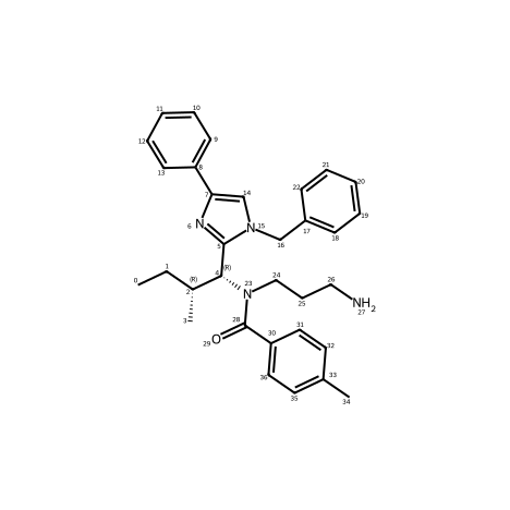 CC[C@@H](C)[C@H](c1nc(-c2ccccc2)cn1Cc1ccccc1)N(CCCN)C(=O)c1ccc(C)cc1